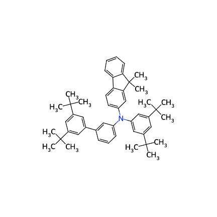 CC(C)(C)c1cc(-c2cccc(N(c3cc(C(C)(C)C)cc(C(C)(C)C)c3)c3ccc4c(c3)C(C)(C)c3ccccc3-4)c2)cc(C(C)(C)C)c1